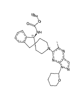 Cc1nc2cnn(C3CCCCO3)c2nc1N1CCC2(CC1)Cc1ccccc1[C@H]2NC(=O)OC(C)(C)C